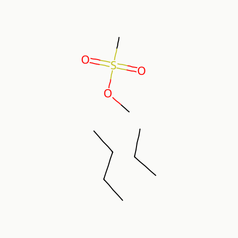 CCC.CCCC.COS(C)(=O)=O